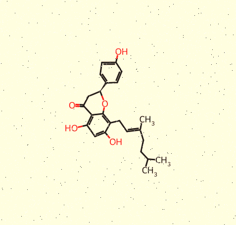 C/C(=C\Cc1c(O)cc(O)c2c1O[C@H](c1ccc(O)cc1)CC2=O)CCC(C)C